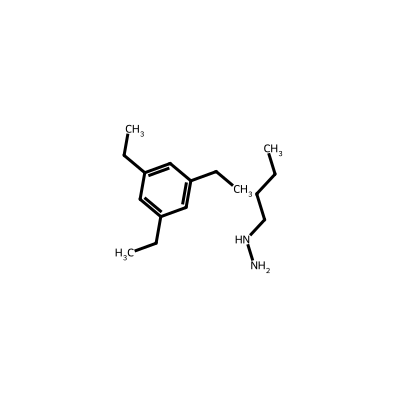 CCCCNN.CCc1cc(CC)cc(CC)c1